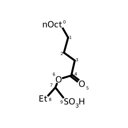 CCCCCCCCCCCC(=O)OC(CC)S(=O)(=O)O